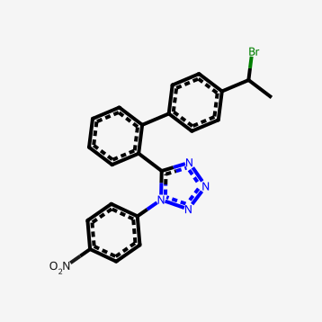 CC(Br)c1ccc(-c2ccccc2-c2nnnn2-c2ccc([N+](=O)[O-])cc2)cc1